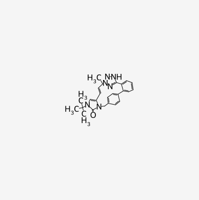 CC/C=C/c1cn(C(C)(C)C)c(=O)n1Cc1ccc(-c2ccccc2-c2nnn[nH]2)cc1